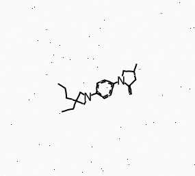 C=C1CC(C)CN1c1ccc(N2CC(CC)(CCC)C2)cc1